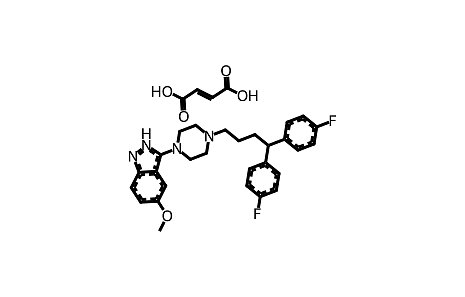 COc1ccc2n[nH]c(N3CCN(CCCC(c4ccc(F)cc4)c4ccc(F)cc4)CC3)c2c1.O=C(O)/C=C/C(=O)O